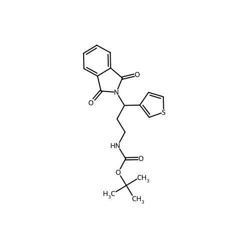 CC(C)(C)OC(=O)NCCC(c1ccsc1)N1C(=O)c2ccccc2C1=O